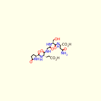 NC(=O)C[C@H](NC(=O)[C@H](CO)NC(=O)CNC(=O)[C@H](CCC(=O)O)NC(=O)[C@@H]1CCC(=O)N1)C(=O)O